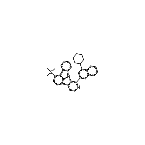 CS(C)(C)c1ccc2c3ccnc(-c4cc(C5CCCCC5)c5ccccc5c4)c3n3c4ccccc4c1c23